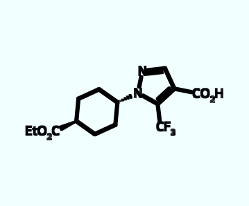 CCOC(=O)[C@H]1CC[C@H](n2ncc(C(=O)O)c2C(F)(F)F)CC1